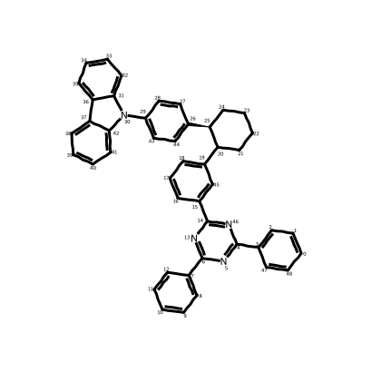 c1ccc(-c2nc(-c3ccccc3)nc(-c3cccc(C4CCCC[C@@H]4c4ccc(-n5c6ccccc6c6ccccc65)cc4)c3)n2)cc1